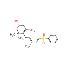 CC(C=CS(=O)(=O)c1ccccc1)=CCC1=C(C)C[C@@H](O)CC1(C)C